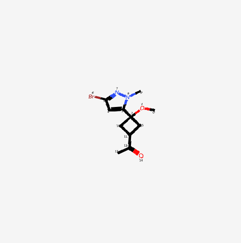 COC1(c2cc(Br)nn2C)CC(C(C)=O)C1